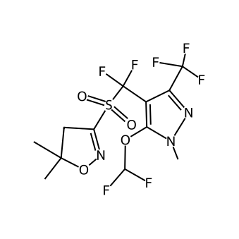 Cn1nc(C(F)(F)F)c(C(F)(F)S(=O)(=O)C2=NOC(C)(C)C2)c1OC(F)F